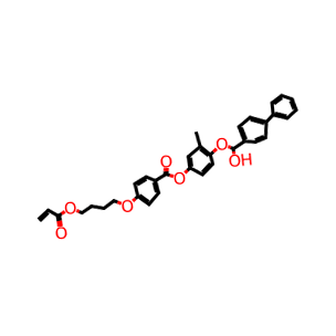 C=CC(=O)OCCCCOc1ccc(C(=O)Oc2ccc(OC(O)c3ccc(-c4ccccc4)cc3)c(C)c2)cc1